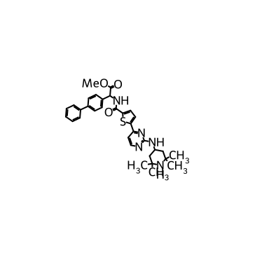 COC(=O)C(NC(=O)c1ccc(-c2ccnc(NC3CC(C)(C)NC(C)(C)C3)n2)s1)c1ccc(-c2ccccc2)cc1